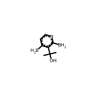 Bc1ccnc(B)c1C(C)(C)O